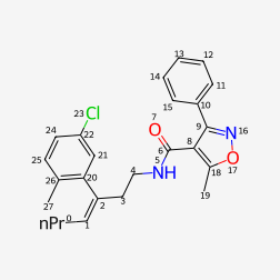 CCC/C=C(/CCNC(=O)c1c(-c2ccccc2)noc1C)c1cc(Cl)ccc1C